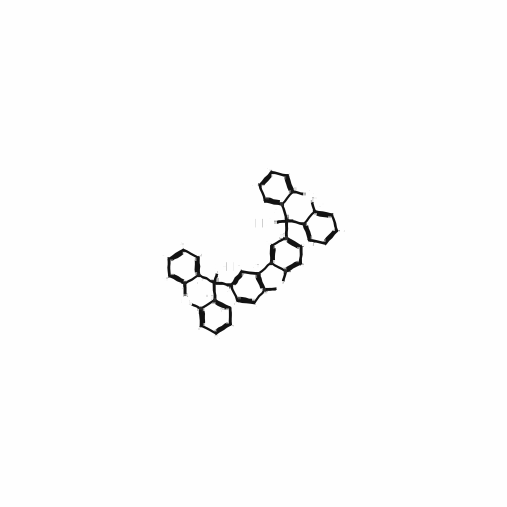 OC1(c2ccc3sc4ccc(C5(O)c6ccccc6Oc6ccccc65)cc4c3c2)c2ccccc2Oc2ccccc21